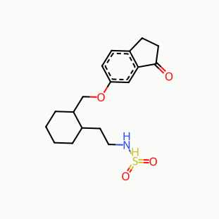 O=C1CCc2ccc(OCC3CCCCC3CCN[SH](=O)=O)cc21